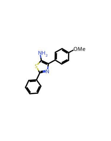 COc1ccc(-c2nc(-c3ccccc3)sc2N)cc1